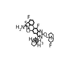 CN1[C@@H]2CC[C@H]1CN(c1nc(OC[C@@]34CCCN3C[C@H](F)C4)nc3c(F)c(-c4ccc(F)c5sc(N)nc45)c(Cl)cc13)C2